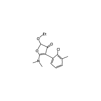 CCOC1OC(N(C)C)=C(c2cccc(C)c2Cl)C1=O